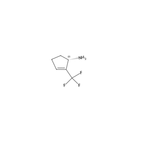 N[C@H]1CCC=C1C(F)(F)F